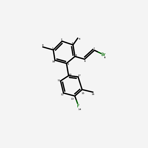 Cc1cc(C)c(C=CBr)c(-c2ccc(F)c(C)c2)c1